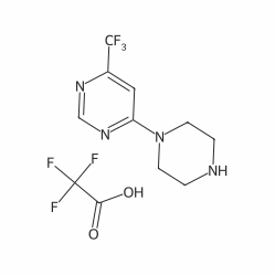 FC(F)(F)c1cc(N2CCNCC2)ncn1.O=C(O)C(F)(F)F